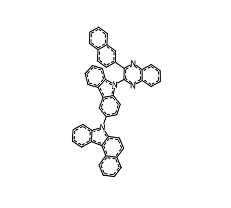 c1ccc2cc(-c3nc4ccccc4nc3-n3c4ccccc4c4cc(-n5c6ccccc6c6c7ccccc7ccc65)ccc43)ccc2c1